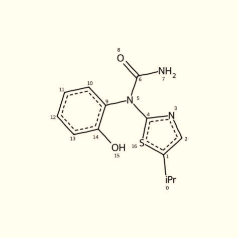 CC(C)c1cnc(N(C(N)=O)c2ccccc2O)s1